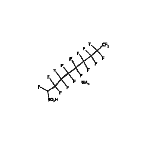 N.O=S(=O)(O)C(F)C(F)(F)C(F)(F)C(F)(F)C(F)(F)C(F)(F)C(F)(F)C(F)(F)C(F)(F)F